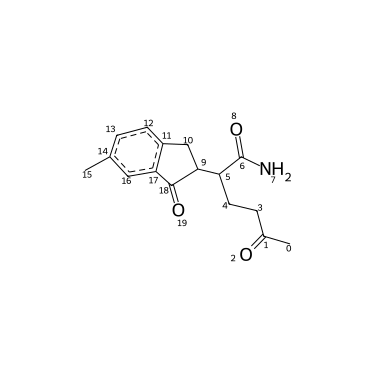 CC(=O)CCC(C(N)=O)C1Cc2ccc(C)cc2C1=O